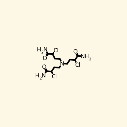 NC(=O)C(Cl)CCN(CCC(Cl)C(N)=O)CCC(Cl)C(N)=O